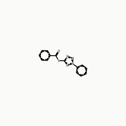 O=C(Sc1nnn(-c2ccccc2)n1)c1ccccc1